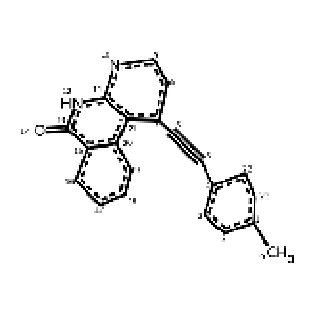 Cc1ccc(C#Cc2ccnc3[nH]c(=O)c4ccccc4c23)cc1